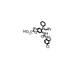 CC(C)CN(c1ccc(OC(C(=O)O)C(C)C)cc1NC(=O)Nc1ccc(Cl)cc1F)C1CCCCC1